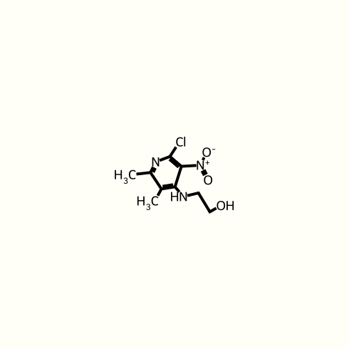 Cc1nc(Cl)c([N+](=O)[O-])c(NCCO)c1C